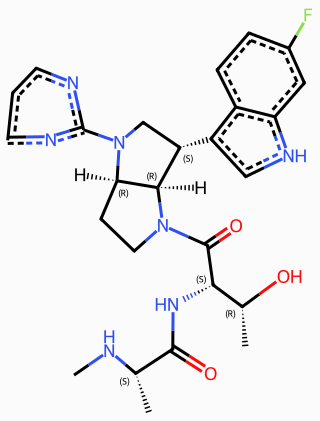 CN[C@@H](C)C(=O)N[C@H](C(=O)N1CC[C@@H]2[C@H]1[C@@H](c1c[nH]c3cc(F)ccc13)CN2c1ncccn1)[C@@H](C)O